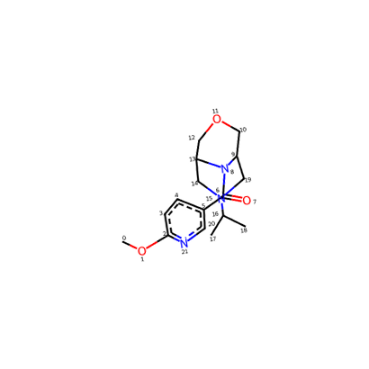 COc1ccc(C(=O)N2C3COCC2CN(C(C)C)C3)cn1